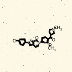 COc1cc(-n2ccc3cc(-c4ccc(Cl)cc4)sc3c2=O)ccc1C(=O)C1CCN(C)C1